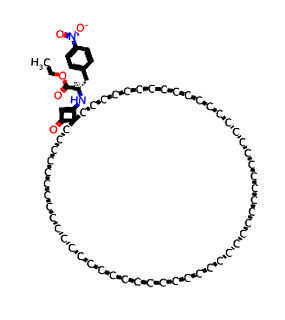 CCOC(=O)[C@H](Cc1ccc([N+](=O)[O-])cc1)NC1=CC(=O)C12CCCCCCCCCCCCCCCCCCCCCCCCCCCCCCCCCCCCCCCCCCCCCCCCCCC2